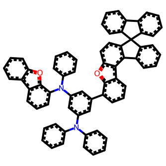 c1ccc(N(c2ccccc2)c2cc(-c3cccc4c3oc3ccc5c(c34)-c3ccccc3C53c4ccccc4-c4ccccc43)cc(N(c3ccccc3)c3cccc4c3oc3ccccc34)c2)cc1